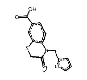 O=C(O)c1ccc2c(c1)SCC(=O)N2Cc1ccco1